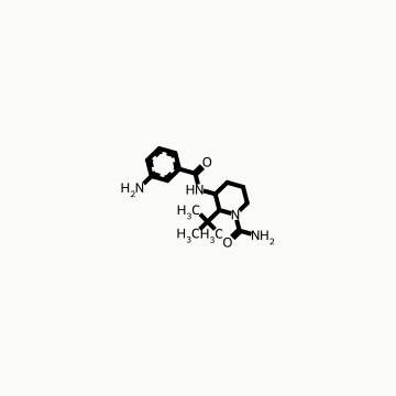 CC(C)(C)C1C(NC(=O)c2cccc(N)c2)CCCN1C(N)=O